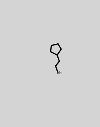 [CH2]CCCCCC1CCCC1